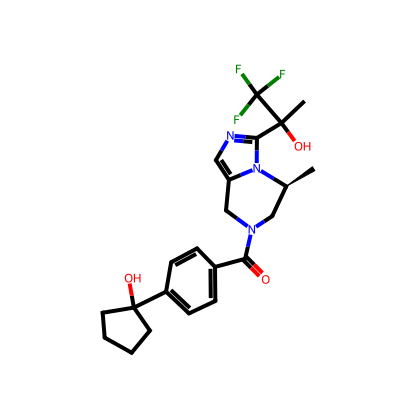 C[C@H]1CN(C(=O)c2ccc(C3(O)CCCC3)cc2)Cc2cnc(C(C)(O)C(F)(F)F)n21